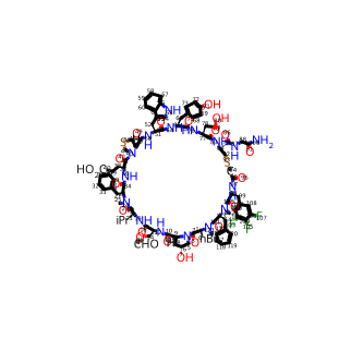 CCCC[C@H]1C(=O)N2C[C@H](O)C[C@@H]2C(=O)N[C@@H](COC=O)C(=O)N[C@@H](C(C)C)C(=O)N(C)[C@@H](Cc2ccccc2)C(=O)N[C@@H](CCC(=O)O)C(=O)N2CSC[C@@H]2C(=O)N[C@@H](Cc2c[nH]c3ccccc23)C(=O)N[C@@H](Cc2ccc(O)cc2)C(=O)N[C@@H](CCO)C(=O)N[C@H](C(=O)NCC(N)=O)CSCC(=O)N[C@@H](Cc2cc(F)c(F)c(F)c2)C(=O)N(C)[C@@H](Cc2ccccc2)C(=O)N1C